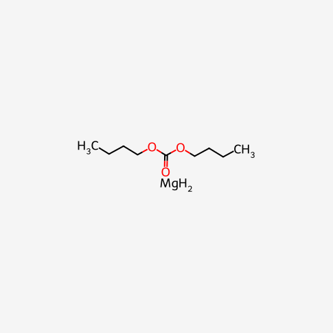 CCCCOC(=O)OCCCC.[MgH2]